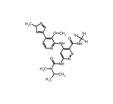 [2H]C([2H])([2H])NC(=O)c1nnc(NC(=O)N(C)C(C)C)cc1Nc1nccc(-c2cnn(C)n2)c1OC